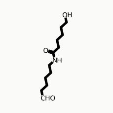 O=CCCCCCNC(=O)CCCCCO